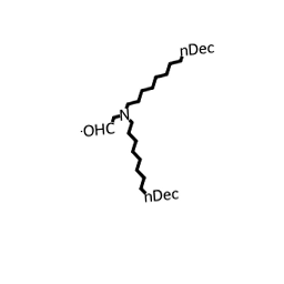 CCCCCCCCCCCCCCCCCCN(C[C]=O)CCCCCCCCCCCCCCCCCC